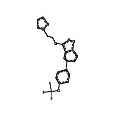 FC(F)(F)Oc1ccc(-c2ccc3onc(OCCn4cccn4)c3c2)cc1